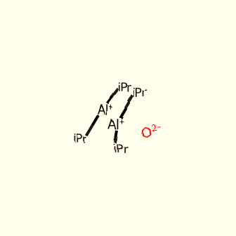 C[CH](C)[Al+][CH](C)C.C[CH](C)[Al+][CH](C)C.[O-2]